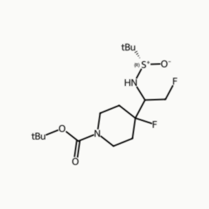 CC(C)(C)OC(=O)N1CCC(F)(C(CF)N[S@@+]([O-])C(C)(C)C)CC1